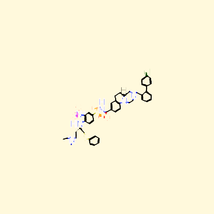 CCN(C)CC[C@H](CSc1ccccc1)Nc1ccc(S(=O)(=O)NC(=O)c2ccc3c(c2)CC[C@@H]2CN(Cc4ccccc4-c4ccc(Cl)cc4)CCN32)cc1[N+](=O)[O-]